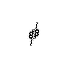 CCCCCc1ccc2ccc3oc4c(CCCCC)ccc5ccc6oc1c2c3-c6c54